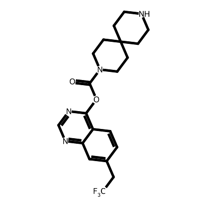 O=C(Oc1ncnc2cc(CC(F)(F)F)ccc12)N1CCC2(CCNCC2)CC1